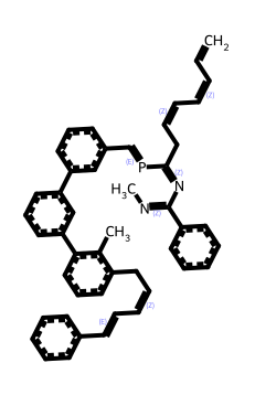 C=C/C=C\C=C/CC(=N/C(=N\C)c1ccccc1)/P=C/c1cccc(-c2cccc(-c3cccc(C/C=C\C=C\c4ccccc4)c3C)c2)c1